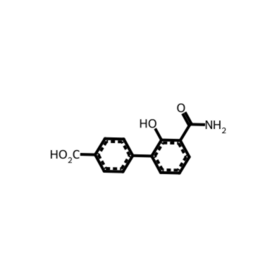 NC(=O)c1cccc(-c2ccc(C(=O)O)cc2)c1O